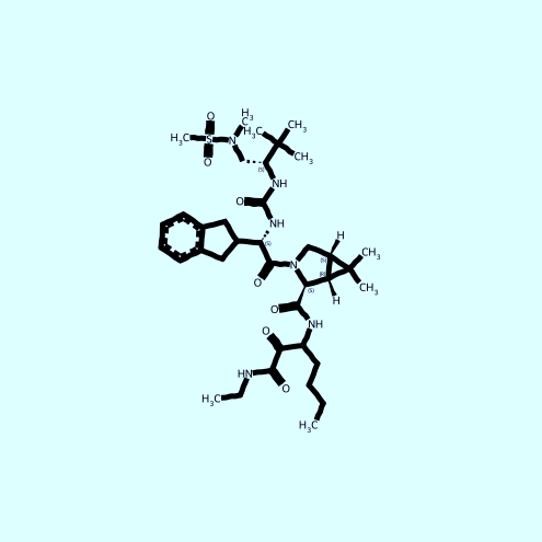 CCCCC(NC(=O)[C@@H]1[C@@H]2[C@H](CN1C(=O)[C@@H](NC(=O)N[C@H](CN(C)S(C)(=O)=O)C(C)(C)C)C1Cc3ccccc3C1)C2(C)C)C(=O)C(=O)NCC